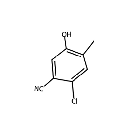 Cc1cc(Cl)c(C#N)cc1O